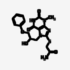 Cn1c(=O)[nH]c(=O)c2c1nc(SCC(N)=O)n2CC(O)COc1ccccc1